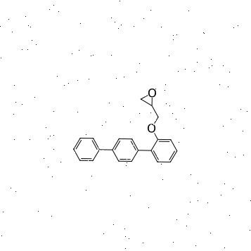 c1ccc(-c2ccc(-c3ccccc3OCC3CO3)cc2)cc1